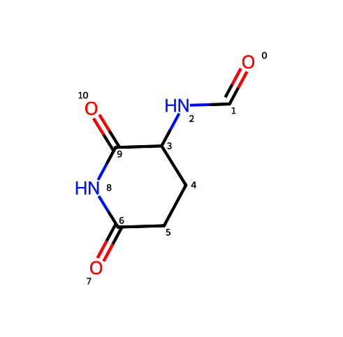 O=CNC1CCC(=O)NC1=O